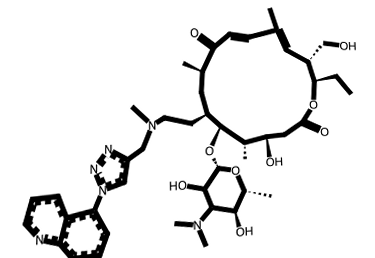 CC[C@H]1OC(=O)C[C@@H](O)[C@H](C)[C@@H](O[C@@H]2O[C@H](C)[C@@H](O)C(N(C)C)C2O)[C@@H](CCN(C)Cc2cn(-c3cccc4ncccc34)nn2)C[C@@H](C)C(=O)/C=C/C(C)=C/[C@@H]1CO